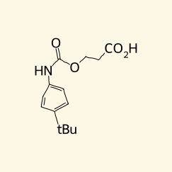 CC(C)(C)c1ccc(NC(=O)OCCC(=O)O)cc1